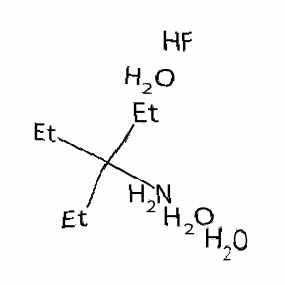 CCC(N)(CC)CC.F.O.O.O